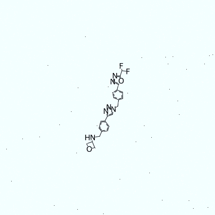 FC(F)c1nnc(-c2ccc(Cn3cc(-c4ccc(CNC5COC5)cc4)nn3)cc2)o1